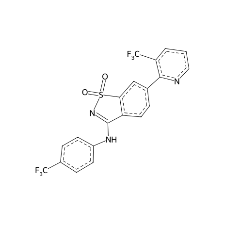 O=S1(=O)N=C(Nc2ccc(C(F)(F)F)cc2)c2ccc(-c3ncccc3C(F)(F)F)cc21